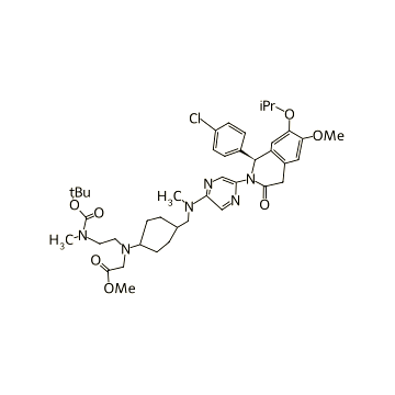 COC(=O)CN(CCN(C)C(=O)OC(C)(C)C)C1CCC(CN(C)c2cnc(N3C(=O)Cc4cc(OC)c(OC(C)C)cc4[C@@H]3c3ccc(Cl)cc3)cn2)CC1